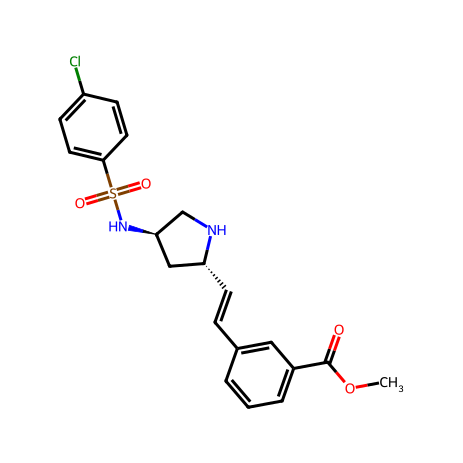 COC(=O)c1cccc(/C=C/[C@@H]2C[C@@H](NS(=O)(=O)c3ccc(Cl)cc3)CN2)c1